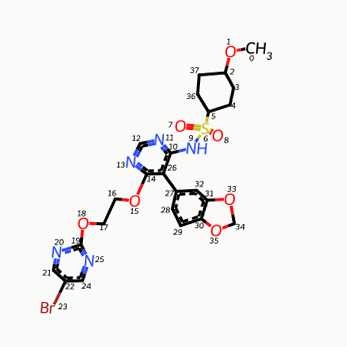 COC1CCC(S(=O)(=O)Nc2ncnc(OCCOc3ncc(Br)cn3)c2-c2ccc3c(c2)OCO3)CC1